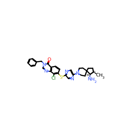 C[C@@H]1CCC2(CCN(c3cnc(Sc4ccc5c(=O)n(Cc6ccccc6)cnc5c4Cl)cn3)CC2)[C@@H]1N